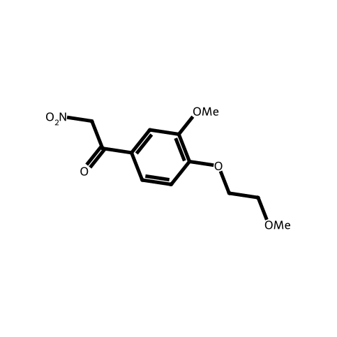 COCCOc1ccc(C(=O)C[N+](=O)[O-])cc1OC